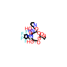 C[C@H]1OC(=O)C(C2CCO2)OC(=O)[C@H](C)[C@H](O)[C@H](Cc2c(F)c(F)c(F)c(F)c2F)NC(=O)[C@H]1NC(=O)c1ncccc1O